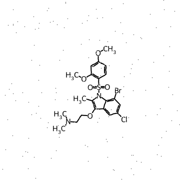 COc1ccc(S(=O)(=O)n2c(C)c(OCCN(C)C)c3cc(Cl)cc(Br)c32)c(OC)c1